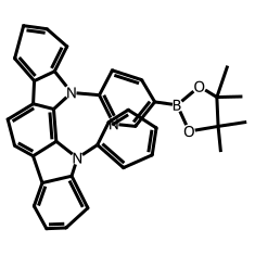 CC1(C)OB(c2ccc(-n3c4ccccc4c4ccc5c6ccccc6n(-c6ccccc6)c5c43)nc2)OC1(C)C